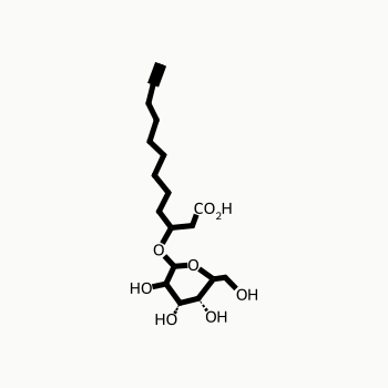 C#CCCCCCCCC(CC(=O)O)OC1OC(CO)[C@H](O)[C@H](O)C1O